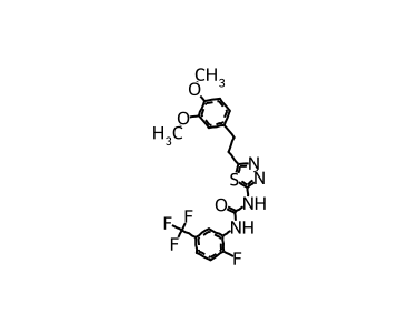 COc1ccc(CCc2nnc(NC(=O)Nc3cc(C(F)(F)F)ccc3F)s2)cc1OC